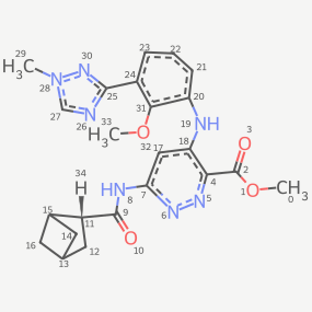 COC(=O)c1nnc(NC(=O)[C@@H]2CC3CC2C3)cc1Nc1cccc(-c2ncn(C)n2)c1OC